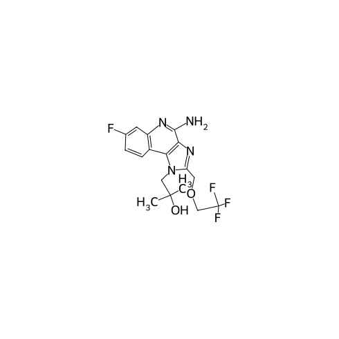 CC(C)(O)Cn1c(COCC(F)(F)F)nc2c(N)nc3cc(F)ccc3c21